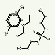 CCOCC.O=P(O)(OCCO)OCCO.Oc1ccc(O)cc1